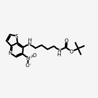 CC(C)(C)OC(=O)NCCCCNc1c([N+](=O)[O-])cnc2ccsc12